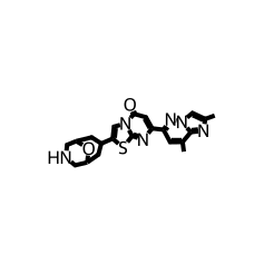 Cc1cn2nc(-c3cc(=O)n4cc(C5CC6CNCC(C5)O6)sc4n3)cc(C)c2n1